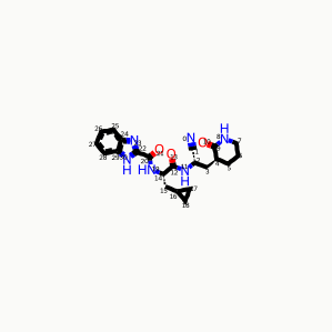 N#C[C@H](C[C@@H]1CCCNC1=O)NC(=O)[C@H](CC1CC1)NC(=O)c1nc2ccccc2[nH]1